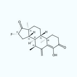 C=C1C2=C(O)C(=O)CC[C@]2(C)[C@H]2CC[C@]3(C)C(=O)[C@@H](F)C[C@H]3[C@@H]2[C@@H]1C